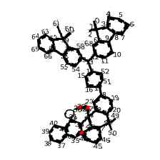 CC1(C)c2ccccc2-c2ccc(C(c3ccc(-c4ccc5c(c4)C4(c6ccccc6Oc6c4ccc4ccccc64)c4ccccc4C5(C)C)cc3)c3ccc4c(c3)C(C)(C)c3ccccc3-4)cc21